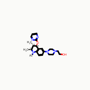 CC(=O)N1c2ccc(N3CCN(CCO)CC3)cc2[C@H](Oc2ncccn2)[C@@H](C)[C@@H]1C